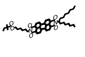 CCCCCCCC(CCCCCCC)N1C(=O)c2ccc3c4ccc5c6c(ccc(c7ccc(c2c37)C1=O)c64)C(=O)N(CCCCCCOC(=O)C(C)(C)CC)C5=O